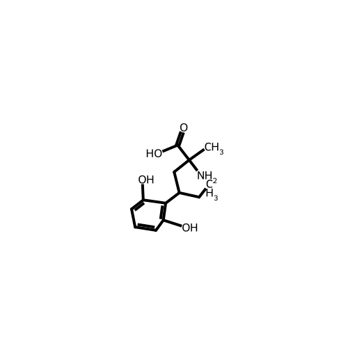 CCC(CC(C)(N)C(=O)O)c1c(O)cccc1O